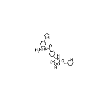 Nc1ccc(-c2cccs2)cc1NC(=O)c1ccc(C(NC(=O)OCc2cccnc2)C(=O)O)cc1